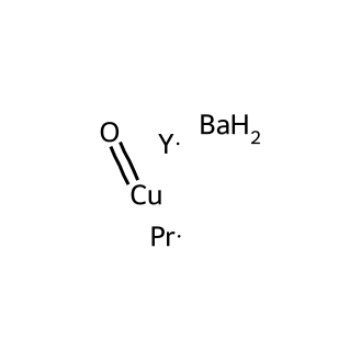 [BaH2].[O]=[Cu].[Pr].[Y]